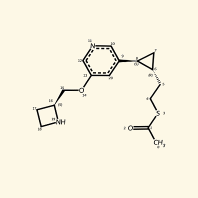 CC(=O)SCC[C@H]1C[C@@H]1c1cncc(OC[C@@H]2CCN2)c1